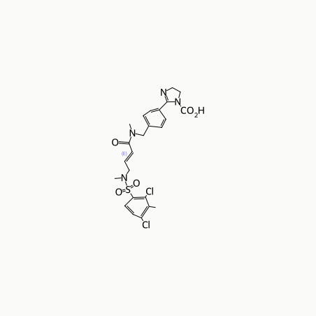 Cc1c(Cl)ccc(S(=O)(=O)N(C)C/C=C/C(=O)N(C)Cc2ccc(C3=NCCN3C(=O)O)cc2)c1Cl